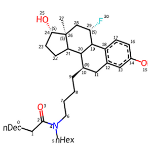 CCCCCCCCCCCC(=O)N(CCCCCC)CCCC[C@@H]1Cc2cc(O)ccc2C2C1C1CC[C@H](O)[C@@]1(C)C[C@@H]2F